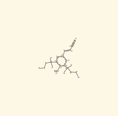 CCCC(C)(C)c1cc(C=CC#N)cc(C(C)(C)CCC)c1O